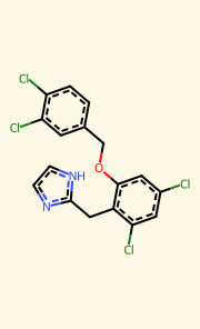 Clc1cc(Cl)c(Cc2ncc[nH]2)c(OCc2ccc(Cl)c(Cl)c2)c1